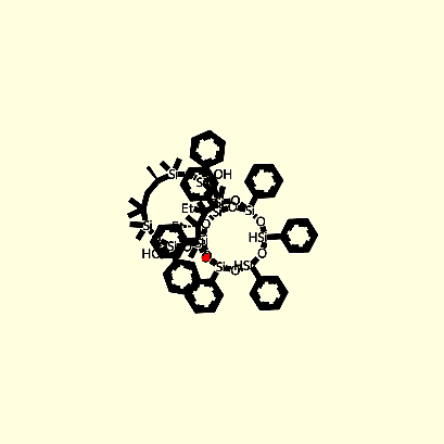 CCC1(C)[C@@](C)(CC)[Si](C)(C)O[Si]2(c3ccccc3)O[SiH](c3ccccc3)O[SiH](c3ccccc3)O[Si](c3ccccc3)(O[Si]3(c4ccccc4)O[Si](O)(c4ccccc4)O[Si](C)(C)[C@H](C)CC(C)(C)[Si](C)(C)O[Si](O)(c4ccccc4)O[Si](c4ccccc4)(O3)O2)O[Si]1(C)C